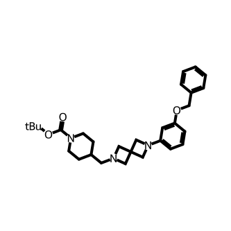 CC(C)(C)OC(=O)N1CCC(CN2CC3(C2)CN(c2cccc(OCc4ccccc4)c2)C3)CC1